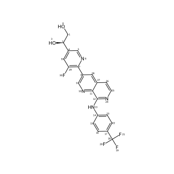 OC[C@H](O)c1cnc(-c2cnc3c(Nc4ccc(C(F)(F)F)cc4)nccc3c2)c(F)c1